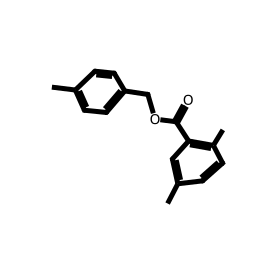 Cc1ccc(COC(=O)c2cc(C)ccc2C)cc1